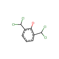 [O]c1c(C(Cl)Cl)cccc1C(Cl)Cl